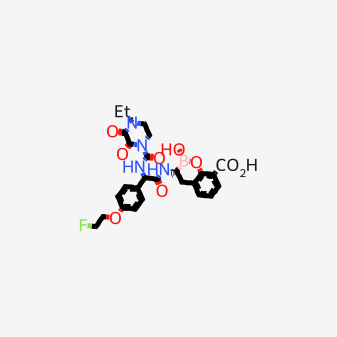 CCN1CCN(C(=O)NC(C(=O)N[C@H]2Cc3cccc(C(=O)O)c3OB2O)c2ccc(OCCF)cc2)C(=O)C1=O